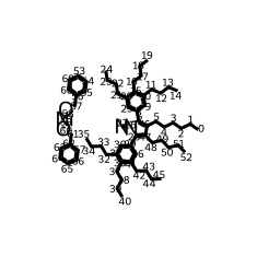 CCCCCCC1=C(c2cc(CCCC)c(CCCC)c(CCCC)c2)[N+](=[N-])C(c2cc(CCCC)c(CCCC)c(CCCC)c2)=C1CCCCC.c1ccc(C[O][Ni][O]Cc2ccccc2)cc1